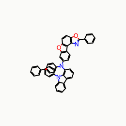 c1ccc(-c2ccc(N(c3ccc4c(c3)oc3ccc5oc(-c6ccccc6)nc5c34)c3cccc4c5ccccc5n(-c5ccccc5)c34)cc2)cc1